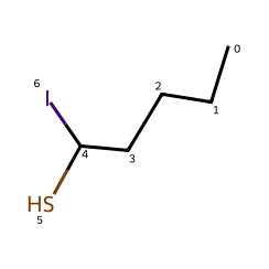 CCCCC(S)I